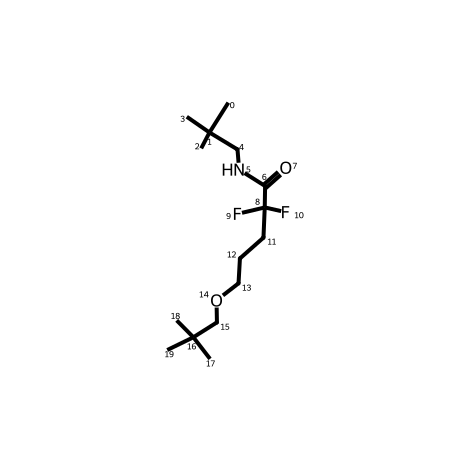 CC(C)(C)CNC(=O)C(F)(F)CCCOCC(C)(C)C